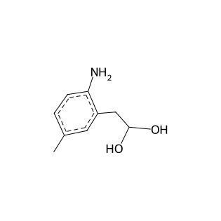 Cc1ccc(N)c(CC(O)O)c1